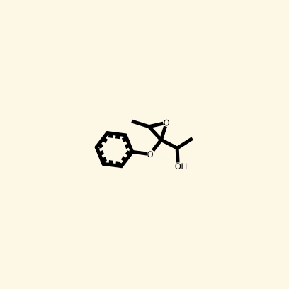 CC(O)C1(Oc2ccccc2)OC1C